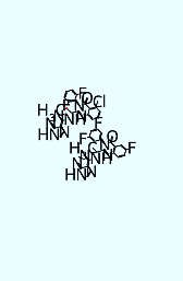 CC(Nc1ncnc2[nH]cnc12)c1nc2ccc(F)cc2c(=O)n1-c1cc(F)cc(F)c1.CCC(Nc1ncnc2[nH]cnc12)c1nc2cccc(Cl)c2c(=O)n1-c1c(F)cccc1F